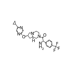 NC(C(=O)N1CCN2C[C@H](Oc3cnc(C4CC4)cn3)C[C@H]2C1)c1ccc(C(F)(F)F)cc1